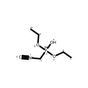 [C-]#[N+]C[PH](O)(OCC)OCC